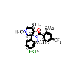 COc1cc(C(F)(F)F)cc(SC)c1C(=O)N[C@@]1(c2ccccc2)CC(C)CN(C)C1.Cl